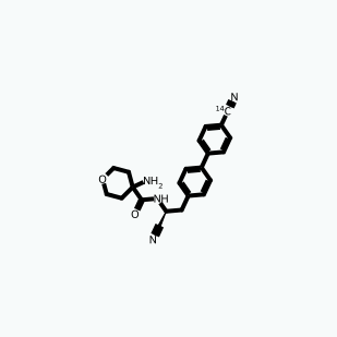 N#C[C@H](Cc1ccc(-c2ccc([14C]#N)cc2)cc1)NC(=O)C1(N)CCOCC1